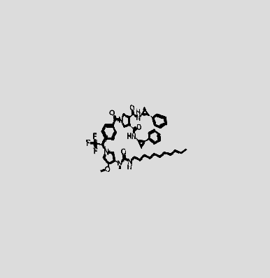 CCCCCCCCCCCNC(=O)N(C)[C@H]1CN([C@H](c2ccc(C(=O)N3C[C@@H](C(=O)N[C@H]4C[C@@H]4c4ccccc4)[C@H](C(=O)N[C@H]4C[C@@H]4c4ccccc4)C3)cc2)C(F)(F)F)C[C@@H]1OC